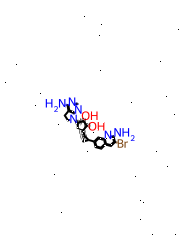 Nc1nc2cc(C3C[C@H]3[C@H]3C[C@@H](N4CCc5c(N)ncnc54)[C@H](O)[C@@H]3O)ccc2cc1Br